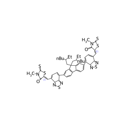 CCCCC(CC)CC1(CC(CC)CCCC)c2cc(-c3ccc(/C=C4\SC(=S)N(C)C4=O)c4nsnc34)ccc2-c2ccc(-c3ccc(/C=C4/SC(=S)N(C)C4=O)c4nsnc34)cc21